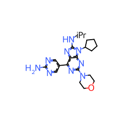 CC(C)Nc1nc2c(-c3cnc(N)nc3)nc(N3CCOCC3)nc2n1C1CCCC1